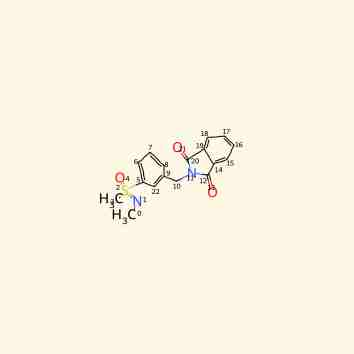 CN=S(C)(=O)c1cccc(CN2C(=O)c3ccccc3C2=O)c1